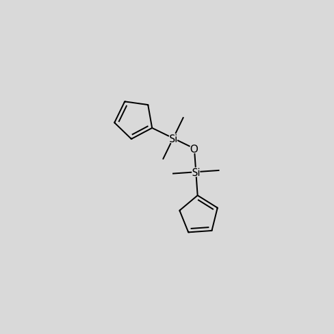 C[Si](C)(O[Si](C)(C)C1=CC=CC1)C1=CC=CC1